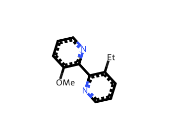 CCc1cccnc1-c1ncccc1OC